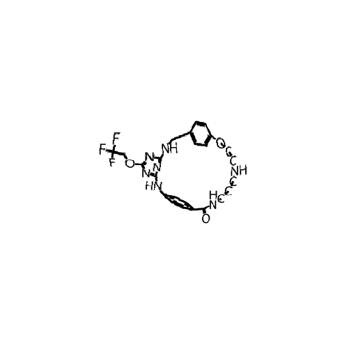 O=C1NCCCNCCOc2ccc(cc2)CNc2nc(nc(OCC(F)(F)F)n2)Nc2ccc1cc2